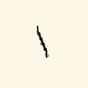 C=CC(=O)OCCOc1ccc(/N=N/c2ccc(/N=N/c3ccc(/N=N/c4ccc(OCCCCCC)cc4)cc3)c(F)c2)cc1